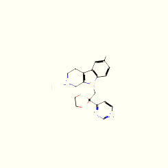 Cc1ccc2c(c1)c1c(n2CC2(c3ccncn3)OCCO2)CN(C)CC1